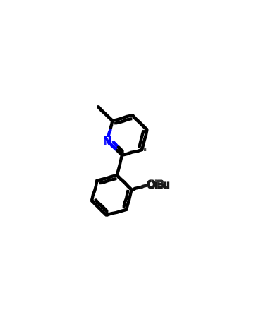 Cc1cc[c]c(-c2ccccc2OCC(C)C)n1